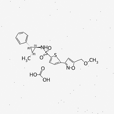 COCc1cc(-c2ccc(S(=O)(=O)N[C@H]3[C@H](C)[C@@H]3c3ccccc3)s2)no1.O=C(O)O